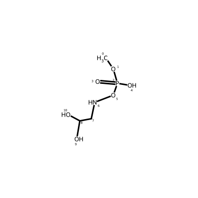 COP(=O)(O)ONCC(O)O